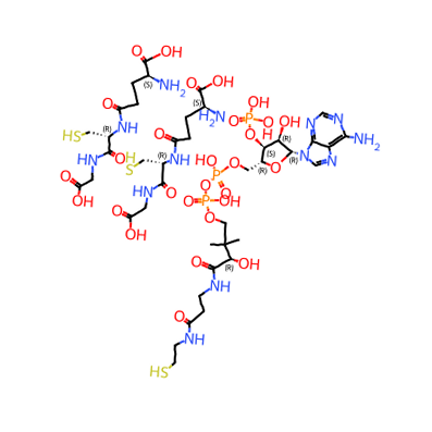 CC(C)(COP(=O)(O)OP(=O)(O)OC[C@H]1O[C@@H](n2cnc3c(N)ncnc32)[C@H](O)[C@@H]1OP(=O)(O)O)[C@@H](O)C(=O)NCCC(=O)NCCS.N[C@@H](CCC(=O)N[C@@H](CS)C(=O)NCC(=O)O)C(=O)O.N[C@@H](CCC(=O)N[C@@H](CS)C(=O)NCC(=O)O)C(=O)O